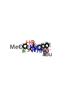 COc1cccc(Sc2cnc(N3CCC4(CC3)Cc3ccccc3[C@H]4N[S+]([O-])C(C)(C)C)c(CO)n2)c1F